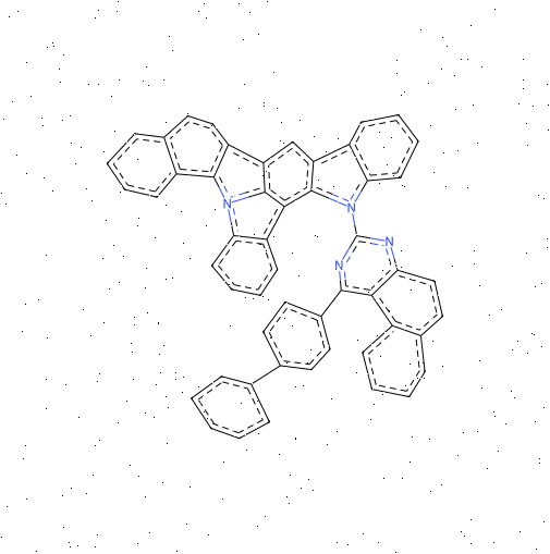 c1ccc(-c2ccc(-c3nc(-n4c5ccccc5c5cc6c7ccc8ccccc8c7n7c8ccccc8c(c54)c67)nc4ccc5ccccc5c34)cc2)cc1